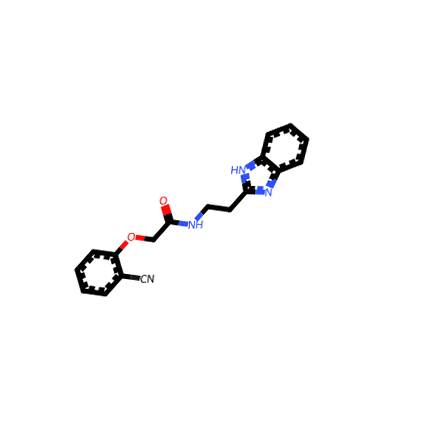 N#Cc1ccccc1OCC(=O)NCCc1nc2ccccc2[nH]1